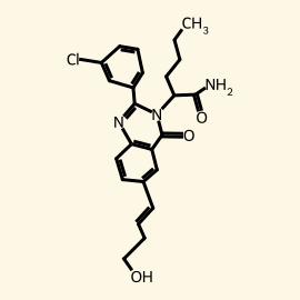 CCCCC(C(N)=O)n1c(-c2cccc(Cl)c2)nc2ccc(C=CCCO)cc2c1=O